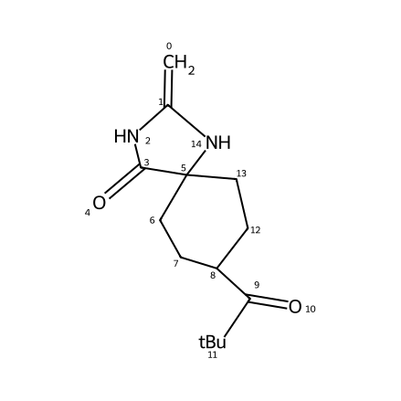 C=C1NC(=O)C2(CCC(C(=O)C(C)(C)C)CC2)N1